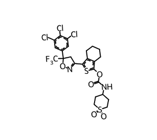 O=C(NC1CCS(=O)(=O)CC1)Oc1sc(C2=NOC(c3cc(Cl)c(Cl)c(Cl)c3)(C(F)(F)F)C2)c2c1CCCC2